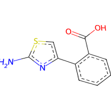 Nc1nc(-c2ccccc2C(=O)O)cs1